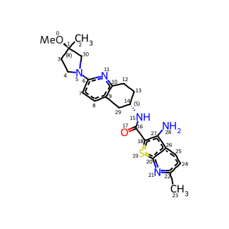 CO[C@]1(C)CCN(c2ccc3c(n2)CC[C@H](NC(=O)c2sc4nc(C)ccc4c2N)C3)C1